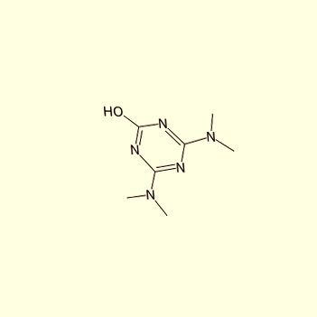 CN(C)c1nc(O)nc(N(C)C)n1